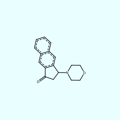 O=C1CC(N2CCOCC2)c2cc3ccccc3cc21